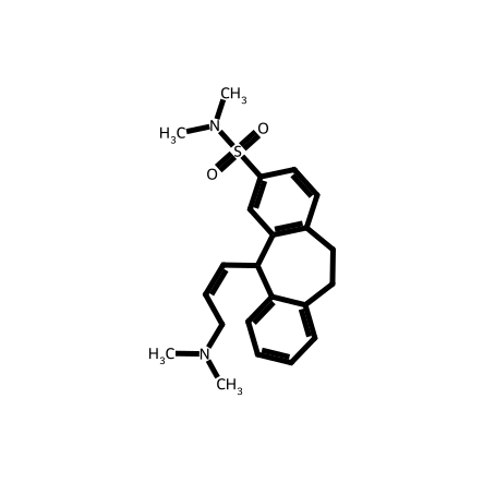 CN(C)C/C=C\C1c2ccccc2CCc2ccc(S(=O)(=O)N(C)C)cc21